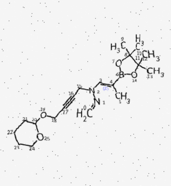 C=NN(/C=C(\C)B1OC(C)(C)C(C)(C)O1)CC#CCOC1CCCCO1